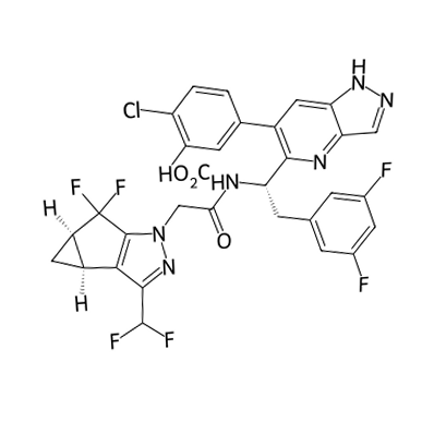 O=C(Cn1nc(C(F)F)c2c1C(F)(F)[C@@H]1C[C@H]21)N[C@@H](Cc1cc(F)cc(F)c1)c1nc2cn[nH]c2cc1-c1ccc(Cl)c(C(=O)O)c1